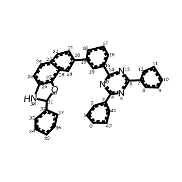 c1ccc(-c2nc(-c3ccccc3)nc(-c3cccc(-c4ccc5ccc6c(c5c4)OC(c4ccccc4)N6)c3)n2)cc1